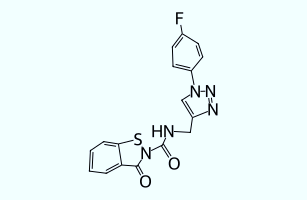 O=C(NCc1cn(-c2ccc(F)cc2)nn1)n1sc2ccccc2c1=O